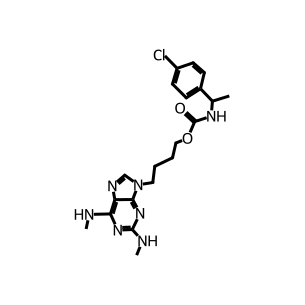 CNc1nc(NC)c2ncn(CCCCOC(=O)NC(C)c3ccc(Cl)cc3)c2n1